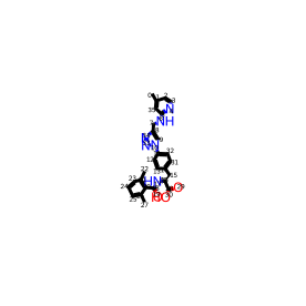 Cc1ccnc(NCc2cn(-c3ccc(C[C@H](NC(=O)c4c(C)cccc4C)C(=O)O)cc3)nn2)c1